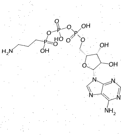 NCCCP(=O)(O)OP(=O)(O)OP(=O)(O)OC[C@H]1O[C@@H](n2cnc3c(N)ncnc32)C(O)[C@H]1O